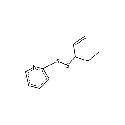 C=CC(CC)SSc1ccccn1